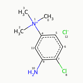 C[N+](C)(C)c1ccc(Cl)c(N)c1.[Cl-]